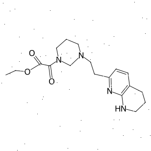 CCOC(=O)C(=O)N1CCCN(CCc2ccc3c(n2)NCCC3)C1